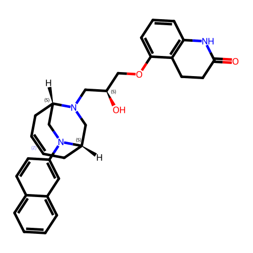 O=C1CCc2c(cccc2OC[C@@H](O)CN2C[C@@H]3C/C=C\C[C@H]2CN3c2ccc3ccccc3c2)N1